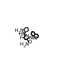 NC(=O)c1cc(F)c(NC2CCCC[C@@H]2N)nc1Nc1cccc2cccnc12